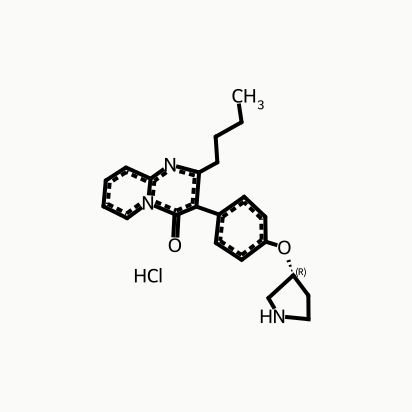 CCCCc1nc2ccccn2c(=O)c1-c1ccc(O[C@@H]2CCNC2)cc1.Cl